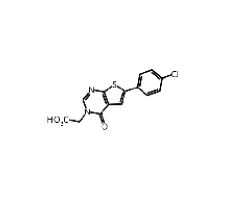 O=C(O)Cn1cnc2sc(-c3ccc(Cl)cc3)cc2c1=O